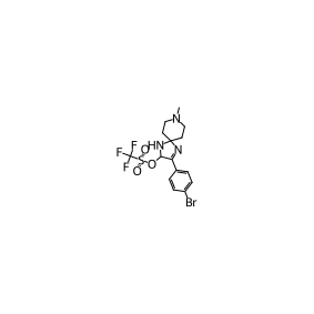 CN1CCC2(CC1)N=C(c1ccc(Br)cc1)C(OS(=O)(=O)C(F)(F)F)N2